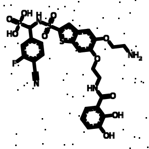 N#Cc1ccc(C(NS(=O)(=O)c2cc3cc(OCCN)c(OCCNC(=O)c4cccc(O)c4O)cc3s2)P(=O)(O)O)cc1F